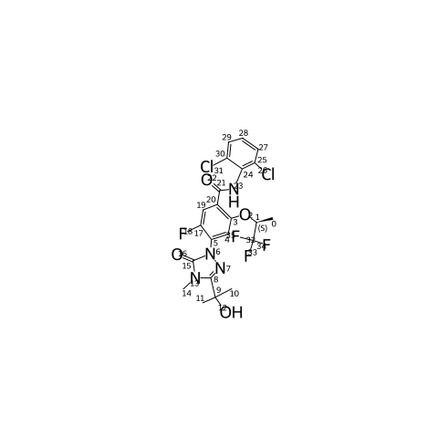 C[C@H](Oc1cc(-n2nc(C(C)(C)O)n(C)c2=O)c(F)cc1C(=O)Nc1c(Cl)cccc1Cl)C(F)(F)F